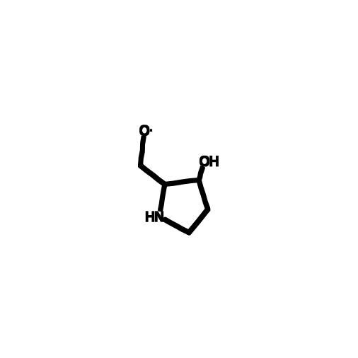 [O]CC1NCCC1O